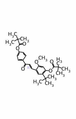 COc1cc(OC(=O)C(C)(C)C)c(C(C)(C)C)cc1/C=C/C(=O)c1ccc(OC(=O)C(C)(C)C)cc1